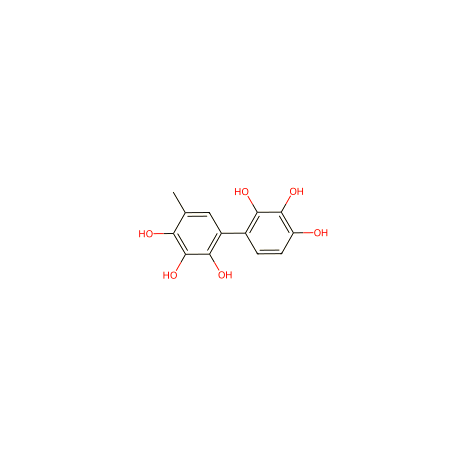 Cc1cc(-c2ccc(O)c(O)c2O)c(O)c(O)c1O